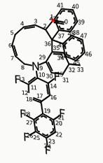 C=CC1/C=C\CC=CCN(C(=C(/C)F)/C(F)=C\C(=C)c2c(F)cc(F)c(F)c2F)C2=CCC(C)C=C2C1(c1ccccc1)c1ccccc1